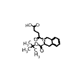 CC(C)(C)OC(=O)[C@@H]1Cc2ccccc2CN1C(=O)CCC(=O)O